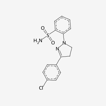 NS(=O)(=O)c1ccccc1N1CCC(c2ccc(Cl)cc2)=N1